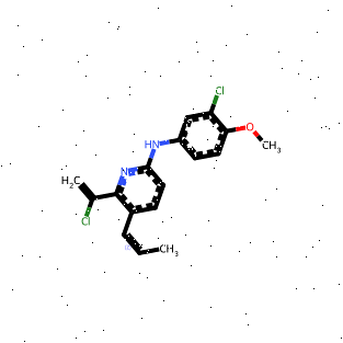 C=C(Cl)c1nc(Nc2ccc(OC)c(Cl)c2)ccc1/C=C\C